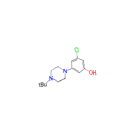 CC(C)(C)N1CCN(c2cc(O)cc(Cl)c2)CC1